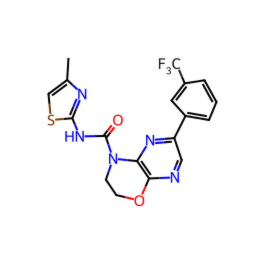 Cc1csc(NC(=O)N2CCOc3ncc(-c4cccc(C(F)(F)F)c4)nc32)n1